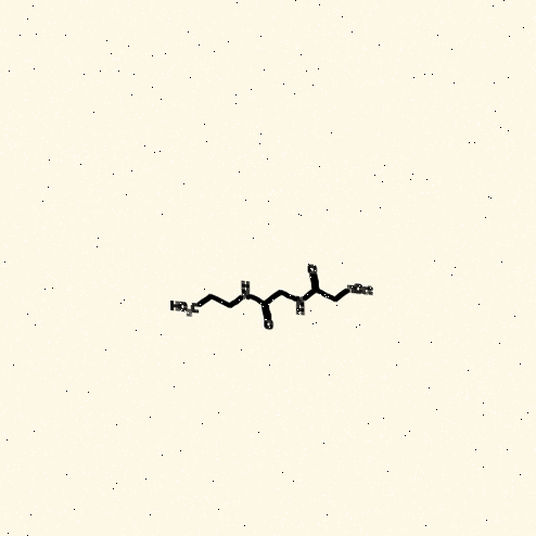 CCCCCCCCCC(=O)NCC(=O)NCCC(=O)O